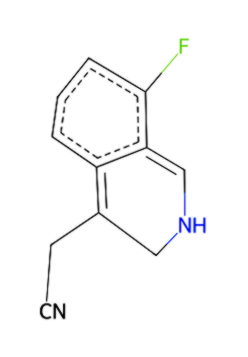 N#CCC1=c2cccc(F)c2=CNC1